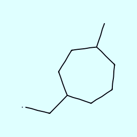 [CH2]CC1CCCC(C)CC1